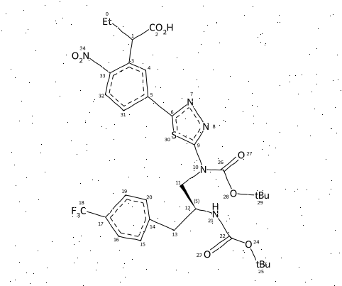 CCC(C(=O)O)c1cc(-c2nnc(N(C[C@H](Cc3ccc(C(F)(F)F)cc3)NC(=O)OC(C)(C)C)C(=O)OC(C)(C)C)s2)ccc1[N+](=O)[O-]